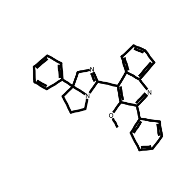 COc1c(-c2ccccc2)nc2ccccc2c1C1=NCC2(c3ccccc3)CCCN12